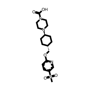 CS(=O)(=O)c1ccc(OC[C@H]2CC[C@H](N3CCN(C(=O)O)CC3)CC2)nc1